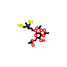 CC(=O)OC[C@H]1O[C@@H](OCCC[Si](C)(CS)CS)[C@H](OC(C)=O)[C@@H](OC(C)=O)[C@@H]1O